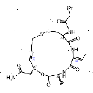 C/C=C1\NC(=O)[C@H](NC(=O)CC(C)C)CSSCC/C=C/[C@H](CC(N)=O)OC(=O)[C@H](C(C)C)NC1=O